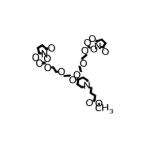 COC(=O)CCCN1CCC(OCCOCCOC(=O)ON2C(=O)CCC2=O)(OCCOCCOC(=O)ON2C(=O)CCC2=O)CC1